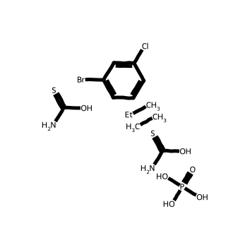 CC.CCC.Clc1cccc(Br)c1.NC(O)=S.NC(O)=S.O=P(O)(O)O